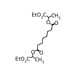 CCOC(=O)C(C)OC(=O)CCCCCCC(=O)OC(C)C(=O)OCC